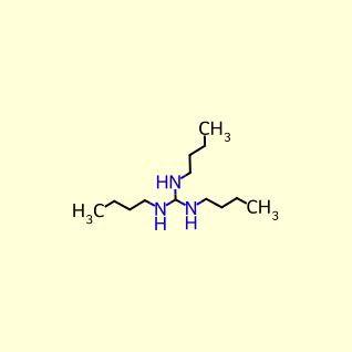 CCCCNC(NCCCC)NCCCC